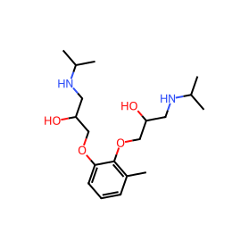 Cc1cccc(OCC(O)CNC(C)C)c1OCC(O)CNC(C)C